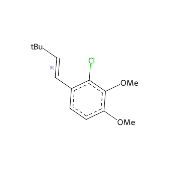 COc1ccc(/C=C/C(C)(C)C)c(Cl)c1OC